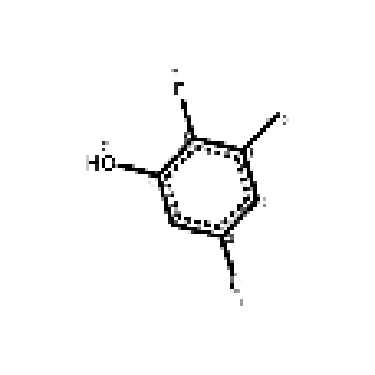 Cc1cc(Cl)cc(O)c1F